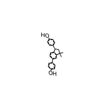 CC1(C)CC(c2ccc(O)cc2)c2ccc(-c3ccc(O)cc3)cc21